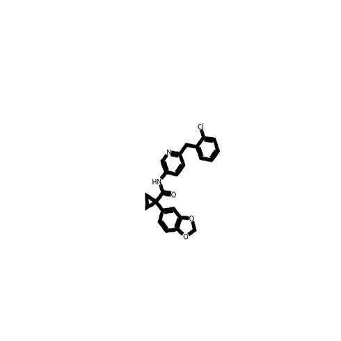 O=C(Nc1ccc(Cc2ccccc2Cl)nc1)C1(c2ccc3c(c2)OCO3)CC1